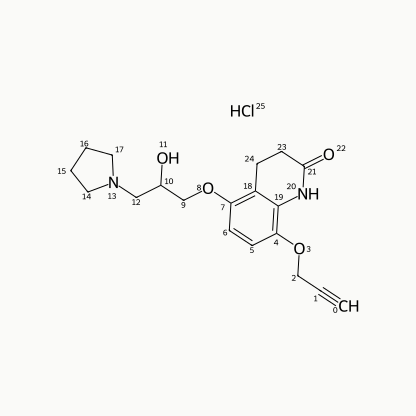 C#CCOc1ccc(OCC(O)CN2CCCC2)c2c1NC(=O)CC2.Cl